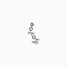 O=C(NCc1ccc(NC2=NCCN2)cc1)c1ccc(-n2cccn2)cc1